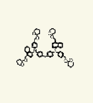 c1ccc2c(N(c3ccc(COC4CCCCO4)cc3)c3ccc(Cc4ccc(N(c5ccc(COC6CCCCO6)cc5)c5ccc(COC6CCCCO6)c6ccccc56)cc4)cc3)ccc(COC3CCCCO3)c2c1